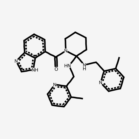 Cc1cccnc1CNC1(NCc2ncccc2C)CCCCN1C(=O)c1cccc2nc[nH]c12